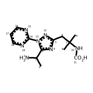 CC(N)c1nc(CC(C)(C)NC(=O)O)nn1-c1ncccn1